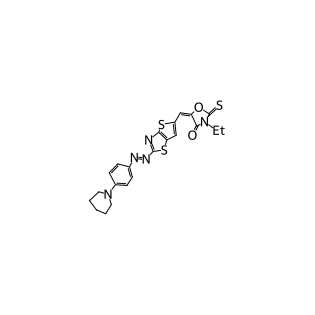 CCN1C(=O)/C(=C\c2cc3sc(/N=N/c4ccc(N5CCCCC5)cc4)nc3s2)OC1=S